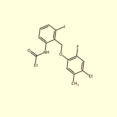 CCC(=O)Nc1cccc(I)c1COc1cc(C)c(CC)cc1F